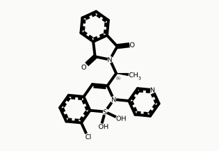 C[C@@H](C1=Cc2cccc(Cl)c2S(O)(O)N1c1cccnc1)N1C(=O)c2ccccc2C1=O